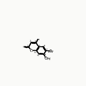 C=C1C=C(C)c2cc(Br)c(O)cc2O1